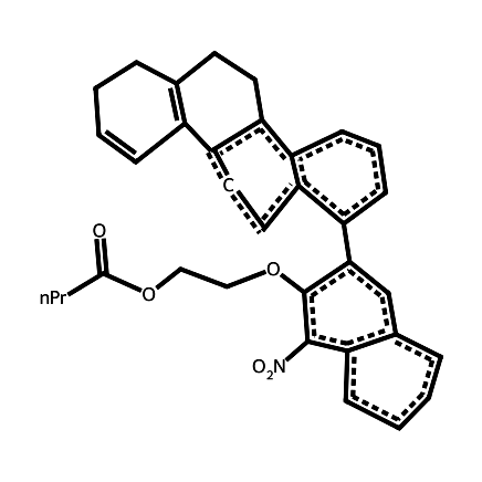 CCCC(=O)OCCOc1c(-c2cccc3c4c(ccc23)C2=C(CCC=C2)CC4)cc2ccccc2c1[N+](=O)[O-]